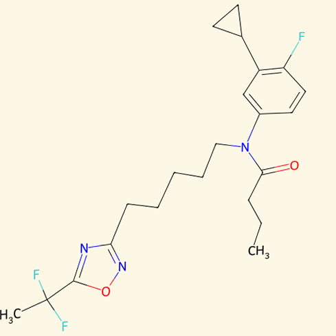 CCCC(=O)N(CCCCCc1noc(C(C)(F)F)n1)c1ccc(F)c(C2CC2)c1